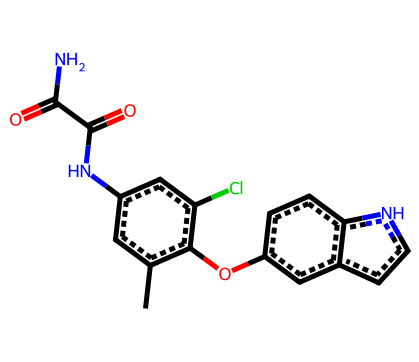 Cc1cc(NC(=O)C(N)=O)cc(Cl)c1Oc1ccc2[nH]ccc2c1